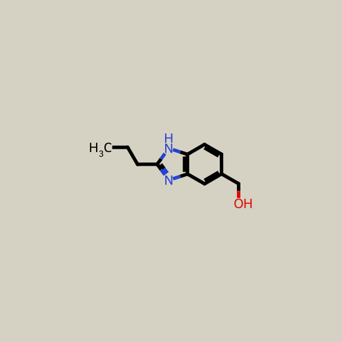 CCCc1nc2cc(CO)ccc2[nH]1